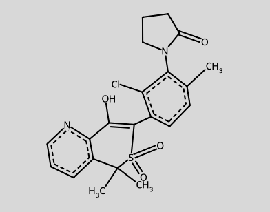 Cc1ccc(C2=C(O)c3ncccc3C(C)(C)S2(=O)=O)c(Cl)c1N1CCCC1=O